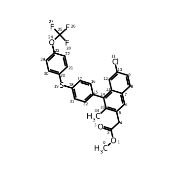 COC(=O)Cc1cc2ccc(Cl)cc2c(-c2ccc(Sc3ccc(OC(F)(F)F)cc3)cc2)c1C